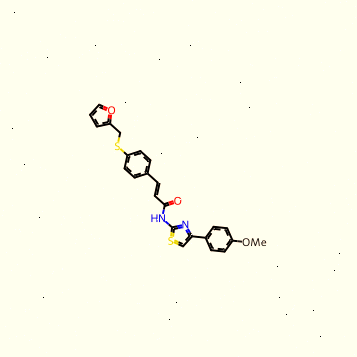 COc1ccc(-c2csc(NC(=O)/C=C/c3ccc(SCc4ccco4)cc3)n2)cc1